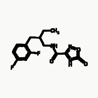 CCC(CNC(=O)c1noc(=O)[nH]1)Cc1ccc(F)cc1F